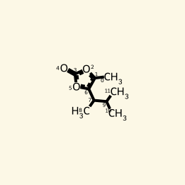 Cc1oc(=O)oc1C(C)C(C)C